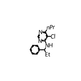 CCCc1ncnc(NC(CC)c2ccccc2)c1Cl